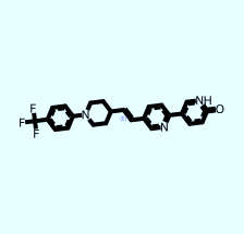 O=c1ccc(-c2ccc(/C=C/C3CCN(c4ccc(C(F)(F)F)cc4)CC3)cn2)c[nH]1